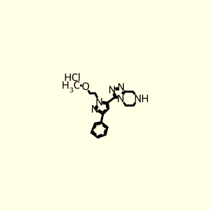 COCCn1nc(-c2ccccc2)cc1-c1nnc2n1CCNC2.Cl